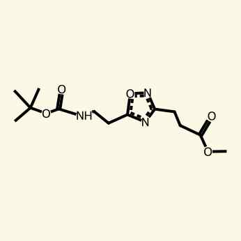 COC(=O)CCc1noc(CCNC(=O)OC(C)(C)C)n1